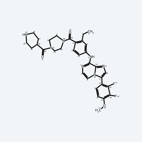 CCc1cc(Nc2nccn3c(-c4ccc(OC)c(F)c4F)cnc23)ccc1C(=O)N1CCN(C(=O)C2CCNCC2)CC1